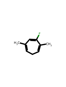 CC1=CCC=C(C)C(F)=C1